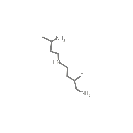 CC(N)CCNCCC(F)CN